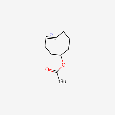 CC(C)(C)C(=O)OC1CC/C=C/CCC1